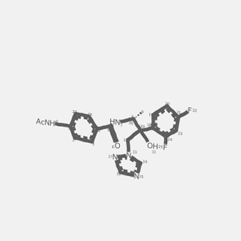 CC(=O)Nc1ccc(C(=O)N[C@H](C)C(O)(Cn2cncn2)c2ccc(F)cc2F)cc1